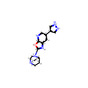 c1n[nH]cc1-c1cnc2oc(N3CCN4CCC3CC4)nc2c1